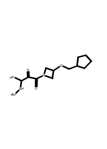 CCCC(NC(C)(C)C)C(=O)C(=O)N1CC(OCC2CCCC2)C1